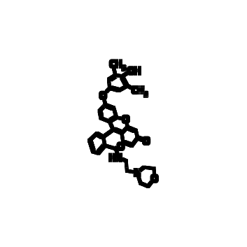 Cc1cc(Oc2ccc3c(-c4ccccc4C(=O)NCCN4CCOCC4)c4ccc(=O)cc-4oc3c2)cc(C)c1O